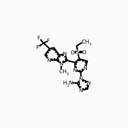 CCS(=O)(=O)c1cnc(-n2ncnc2N)nc1-c1nc2cc(C(F)(F)F)cnc2n1C